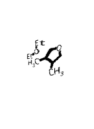 CC1COCC1C.CCOCC